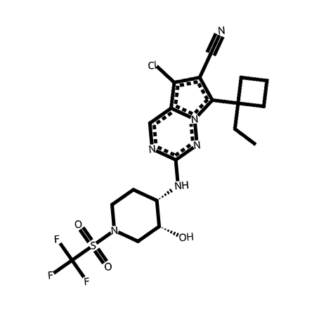 CCC1(c2c(C#N)c(Cl)c3cnc(N[C@H]4CCN(S(=O)(=O)C(F)(F)F)C[C@H]4O)nn23)CCC1